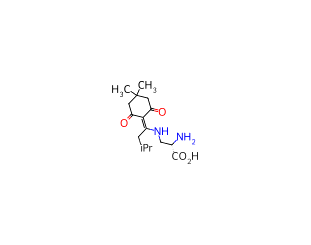 CC(C)CC(NC[C@H](N)C(=O)O)=C1C(=O)CC(C)(C)CC1=O